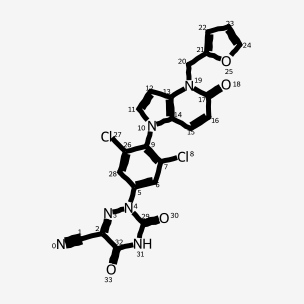 N#Cc1nn(-c2cc(Cl)c(-n3ccc4c3ccc(=O)n4Cc3ccco3)c(Cl)c2)c(=O)[nH]c1=O